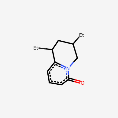 CCC1CC(CC)c2cccc(=O)n2C1